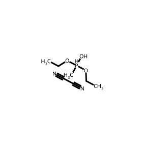 CCO[PH](C)(O)OCC.N#CC#N